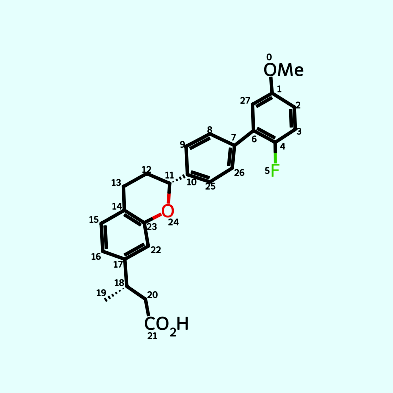 COc1ccc(F)c(-c2ccc([C@H]3CCc4ccc([C@@H](C)CC(=O)O)cc4O3)cc2)c1